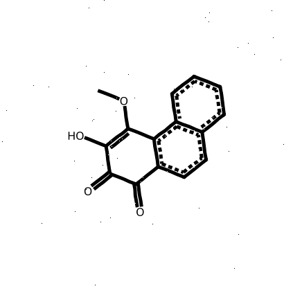 COC1=C(O)C(=O)C(=O)c2ccc3ccccc3c21